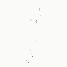 CCCCNC(=O)CCCCCN